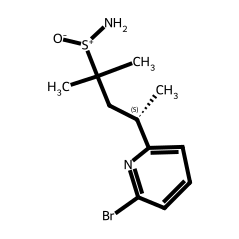 C[C@@H](CC(C)(C)[S+](N)[O-])c1cccc(Br)n1